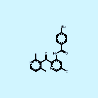 Cc1ccnc(C)c1C(=O)c1ncc(Cl)cc1NC(=O)c1ccc(C(C)(C)C)cc1